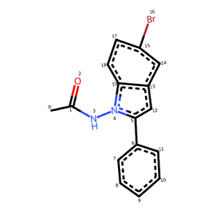 CC(=O)Nn1c(-c2ccccc2)cc2cc(Br)ccc21